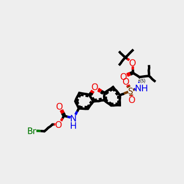 CC(C)[C@H](NS(=O)(=O)c1ccc2c(c1)oc1ccc(NC(=O)OCCBr)cc12)C(=O)OC(C)(C)C